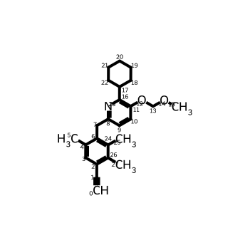 C#Cc1cc(C)c(Cc2ccc(OCOC)c(C3CCCCC3)n2)c(C)c1C